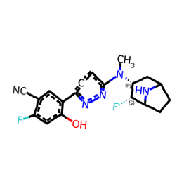 CN(c1ccc(-c2cc(C#N)c(F)cc2O)nn1)[C@@H]1CC2CCC(N2)[C@@H]1F